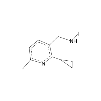 Cc1ccc(CNI)c(C2CC2)n1